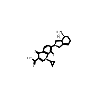 N[C@H]1CCC=C2CN(c3ccc4c(=O)c(C(=O)O)cn(C5CC5)c4c3F)C[C@H]21